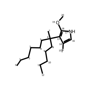 CCCCCCC(C)(CCCCC)c1c(F)c[nH]c1OC